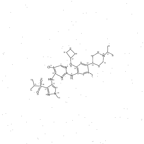 Cc1cc(Nc2ncc(Cl)c(Nc3cn(C)nc3S(=O)(=O)C(C)C)n2)c(OC2CCC2)cc1C1CCN(C(C)C)CC1